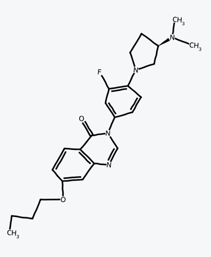 CCCCOc1ccc2c(=O)n(-c3ccc(N4CC[C@@H](N(C)C)C4)c(F)c3)cnc2c1